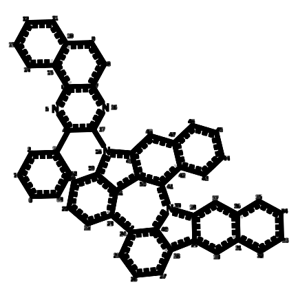 c1ccc(-c2nc3c(ccc4ccccc43)nc2-n2c3cccc4c5cccc6c7cc8ccccc8cc7n(c56)c5c6ccccc6cc2c5c43)cc1